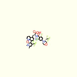 Cc1cc(C(F)(F)F)c(-c2ccc(C[C@H](NC(=O)c3c(F)cc(N4CCOC[C@H]4CC(F)(F)F)cc3F)C(=O)O)c3cccnc23)c(=O)n1C